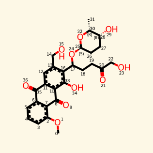 COc1cccc2c1C(=O)c1c(cc(CO)c(C(CCC(=O)CO)O[C@@H]3CC[C@@H](O)[C@@H](C)O3)c1O)C2=O